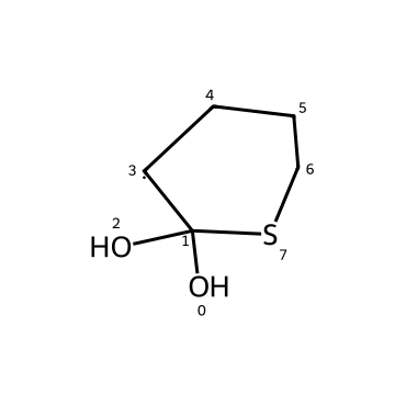 OC1(O)[CH]CCCS1